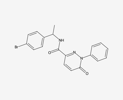 CC(NC(=O)c1ccc(=O)n(-c2ccccc2)n1)c1ccc(Br)cc1